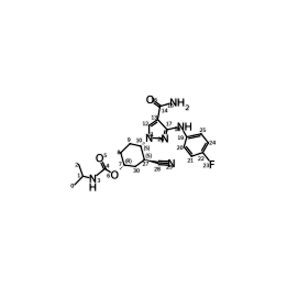 CC(C)NC(=O)O[C@@H]1CC[C@H](n2cc(C(N)=O)c(Nc3ccc(F)cc3)n2)[C@@H](C#N)C1